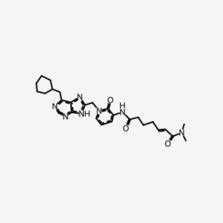 CN(C)C(=O)/C=C/CCCC(=O)Nc1cccn(Cc2nc3c(CC4CCCCC4)ncnc3[nH]2)c1=O